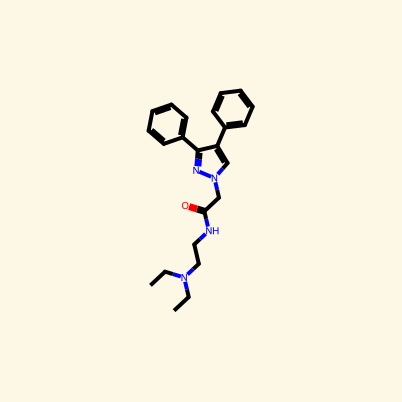 CCN(CC)CCNC(=O)Cn1cc(-c2ccccc2)c(-c2ccccc2)n1